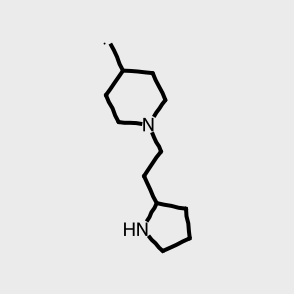 [CH2]C1CCN(CCC2CCCN2)CC1